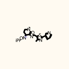 Cc1nc(-c2cccnc2)sc1-c1nc2c(o1)N(C)CC/C2=N\OC(C)C